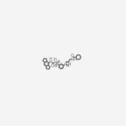 O=C(Nc1c2c(cc3c1CCC3)CCC2)NS(=O)(=O)c1cccc(-n2cc(CNC(=O)C3CCCCC3)nn2)c1